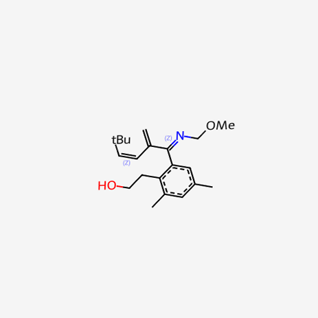 C=C(/C=C\C(C)(C)C)/C(=N/COC)c1cc(C)cc(C)c1CCO